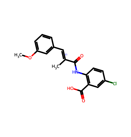 COc1cccc(/C=C(\C)C(=O)Nc2ccc(Cl)cc2C(=O)O)c1